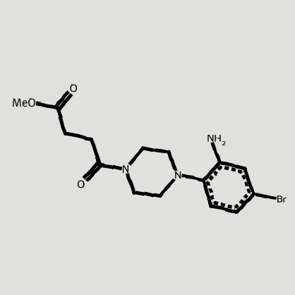 COC(=O)CCC(=O)N1CCN(c2ccc(Br)cc2N)CC1